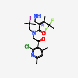 C/C(=C(\C=N)C(=O)N(CC(=O)c1c(C)cc(C)nc1Cl)CC(C)(C)I)C(C)(F)F